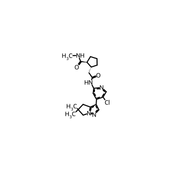 CNC(=O)[C@H]1CCC[C@@H]1CC(=O)Nc1cc(-c2cnn3c2CC(C)(C)C3)c(Cl)cn1